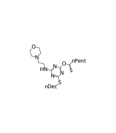 CCCCCCCCCCSc1nc(NCCN2CCOCC2)nc(OC(=S)CCCCC)n1